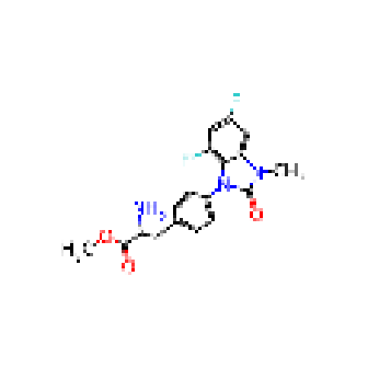 COC(=O)C(N)Cc1ccc(-n2c(=O)n(C)c3cc(F)cc(F)c32)cc1